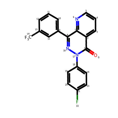 O=c1c2cccnc2c(-c2cccc(C(F)(F)F)c2)nn1-c1ccc(F)cc1